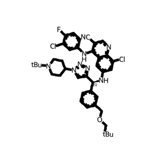 CC(C)(C)COCc1cccc([C@H](Nc2cc(Cl)c3ncc(C#N)c(Nc4ccc(F)c(Cl)c4)c3c2)c2cn(C3CCN(C(C)(C)C)CC3)nn2)c1